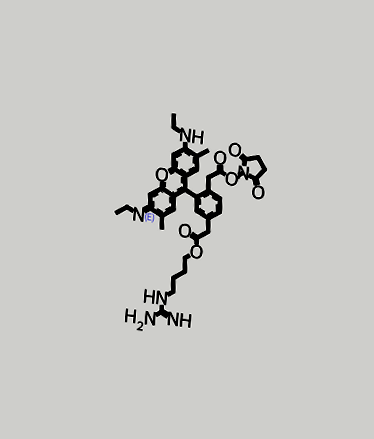 CC/N=c1\cc2oc3cc(NCC)c(C)cc3c(-c3cc(CC(=O)OCCCCNC(=N)N)ccc3CC(=O)ON3C(=O)CCC3=O)c-2cc1C